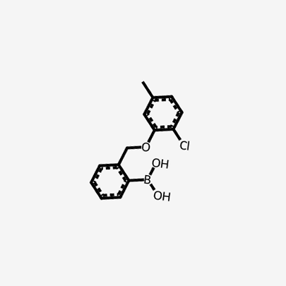 Cc1ccc(Cl)c(OCc2ccccc2B(O)O)c1